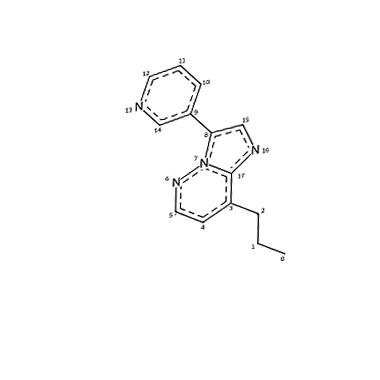 CCCc1c[c]nn2c(-c3cccnc3)cnc12